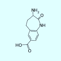 NC1CCc2cc(C(=O)O)ccc2NC1=O